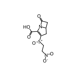 O=C(O)C1=C([S+]([O-])CC[N+](=O)[O-])CC2CC(=O)N12